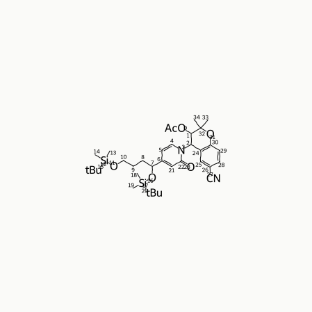 CC(=O)OC1C(n2ccc(C(CCCO[Si](C)(C)C(C)(C)C)O[Si](C)(C)C(C)(C)C)cc2=O)c2cc(C#N)ccc2OC1(C)C